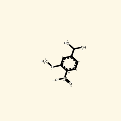 COc1cc(C(O)O)ccc1[N+](=O)[O-]